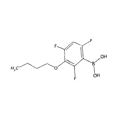 CCCCOc1c(F)cc(F)c(B(O)O)c1F